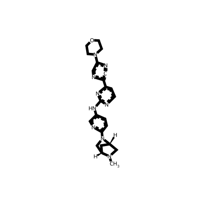 CN1C[C@@H]2C[C@H]1CN2c1ccc(Nc2nccc(-c3cnc(N4CCOCC4)cn3)n2)cn1